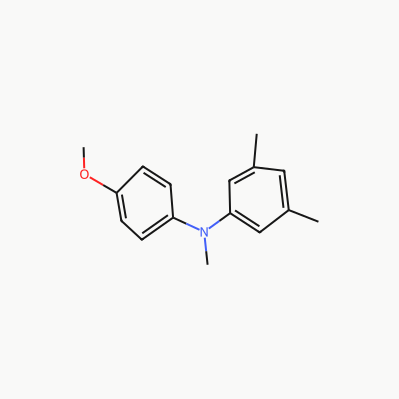 COc1ccc(N(C)c2cc(C)cc(C)c2)cc1